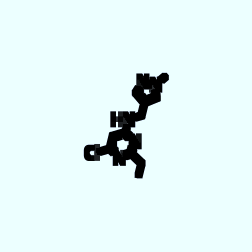 CCc1nc(Cl)cc(NCc2cnn(C)c2)n1